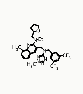 CCN(CC1CCCO1)c1nc2c(C)cccc2cc1CN(Cc1cc(C(F)(F)F)cc(C(F)(F)F)c1)c1nnn(C)n1